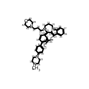 C/C1=c2/cc(-c3ccc(N4CCN(C)CC4)cc3)cc/c2=C2/c3c(c4ccccc4n3CCCN2CCCN2CCOCC2)CC1